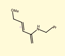 C=C(/C=C/COC)NCC(C)C